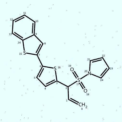 C=CC(c1ccc(-c2cc3ccccc3s2)s1)S(=O)(=O)n1cccc1